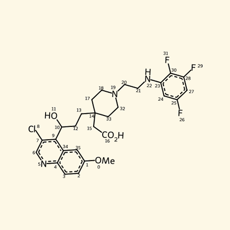 COc1ccc2ncc(Cl)c(C(O)CCC3(CC(=O)O)CCN(CCNc4cc(F)cc(F)c4F)CC3)c2c1